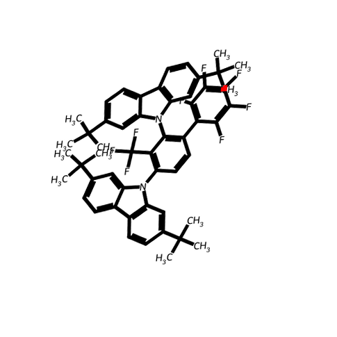 CC(C)(C)c1ccc2c3ccc(C(C)(C)C)cc3n(-c3ccc(-c4c(F)c(F)c(F)c(F)c4F)c(-n4c5cc(C(C)(C)C)ccc5c5ccc(C(C)(C)C)cc54)c3C(F)(F)F)c2c1